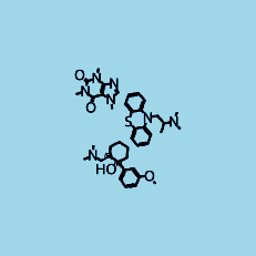 CC(CN1c2ccccc2Sc2ccccc21)N(C)C.COc1cccc([C@@]2(O)CCCC[C@@H]2CN(C)C)c1.Cn1c(=O)c2c(ncn2C)n(C)c1=O